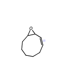 C1=C\C2OC2CCCCC/1